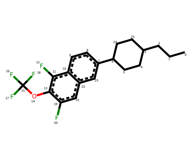 CCCC1CCC(c2ccc3c(F)c(OC(F)(F)F)c(F)cc3c2)CC1